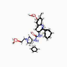 COCCN1C[C@@H](NC(=O)Nc2cc3cc(OC)c(C)cc3nc2-c2ccccc2)[C@H](c2ccccc2)C1